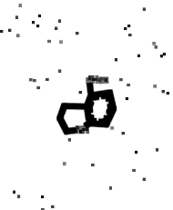 CCCCCCc1cccc2c1CCCN2